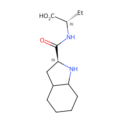 CC[C@H](NC(=O)[C@@H]1CC2CCCCC2N1)C(=O)O